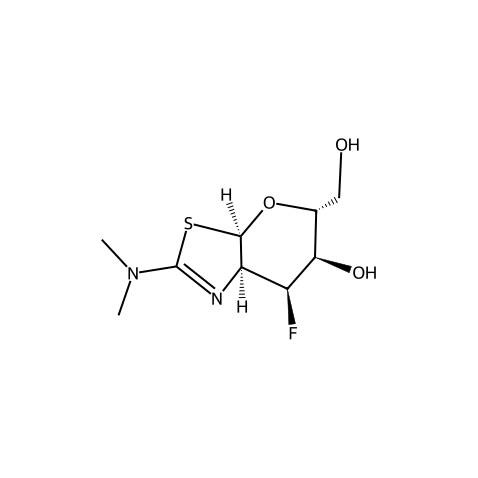 CN(C)C1=N[C@@H]2[C@H](F)[C@H](O)[C@@H](CO)O[C@@H]2S1